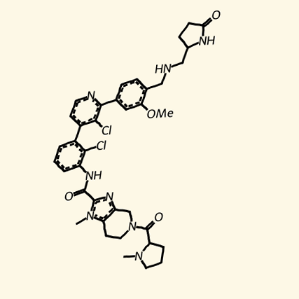 COc1cc(-c2nccc(-c3cccc(NC(=O)c4nc5c(n4C)CCN(C(=O)C4CCCN4C)C5)c3Cl)c2Cl)ccc1CNCC1CCC(=O)N1